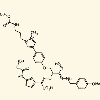 COc1ccc(CN/N=C(\N=N)C(COc2ccc(-c3cn(CCCNC(=O)OC(C)(C)C)[n+](C)c3)cc2)O/N=C(\C(=O)O)c2csc(NC(=O)OC(C)(C)C)n2)cc1